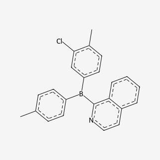 Cc1ccc(B(c2ccc(C)c(Cl)c2)c2nccc3ccccc23)cc1